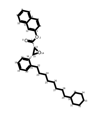 O=C(Oc1ccc2ccccc2c1)[C@@H]1O[C@@H]1c1ccccc1CCCCCCCCC1CCCCC1